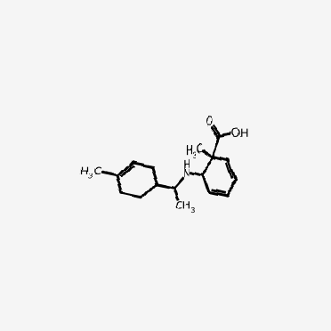 CC1=CCC(C(C)NC2C=CC=CC2(C)C(=O)O)CC1